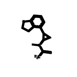 CN(C(=O)C(F)(F)F)C1CC1c1cccc2c1CCO2